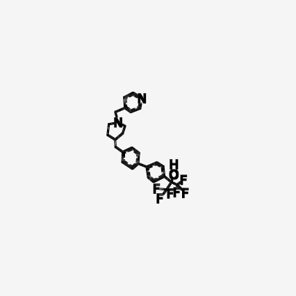 OC(c1ccc(-c2ccc(CC3CCN(Cc4ccncc4)CC3)cc2)cc1)(C(F)(F)F)C(F)(F)F